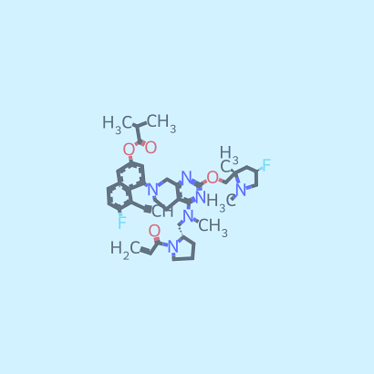 C#Cc1c(F)ccc2cc(OC(=O)C(C)C)cc(N3CCc4c(nc(OC[C@]5(C)C[C@@H](F)CN5C)nc4N(C)C[C@@H]4CCCN4C(=O)C=C)C3)c12